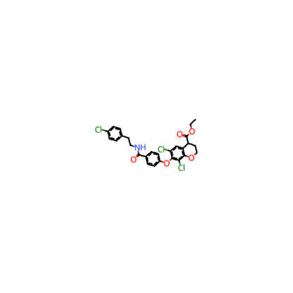 CCOC(=O)C1CCOc2c1cc(Cl)c(Oc1ccc(C(=O)NCCc3ccc(Cl)cc3)cc1)c2Cl